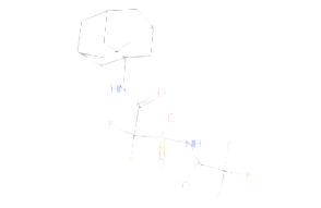 O=C(NS(=O)(=O)C(F)(F)C(=O)NC12CC3CC(CC(C3)C1)C2)C(F)(F)F